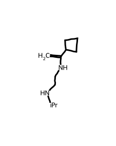 C=C(NCCNC(C)C)C1CCC1